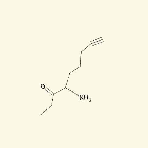 C#CCCCC(N)C(=O)CC